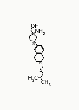 CC(C)CSC[C@@H]1CCc2cc([C@H]3CC[C@](N)(CO)C3)ccc2C1